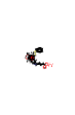 O=C(O)CCC/C=C\C[C@H]1[C@@H](CSC2CCCCC2)[C@@H]2O[C@H]1[C@@H]1O[C@@H]12